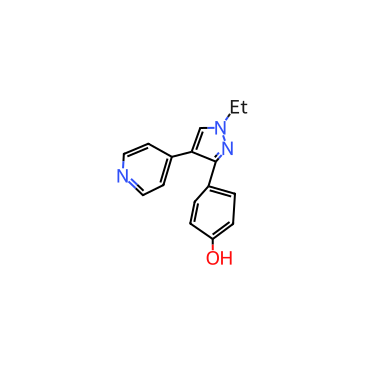 CCn1cc(-c2ccncc2)c(-c2ccc(O)cc2)n1